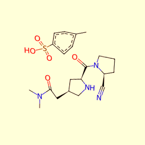 CN(C)C(=O)C[C@@H]1CN[C@H](C(=O)N2CCC[C@H]2C#N)C1.Cc1ccc(S(=O)(=O)O)cc1